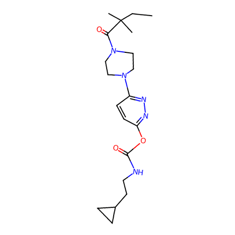 CCC(C)(C)C(=O)N1CCN(c2ccc(OC(=O)NCCC3CC3)nn2)CC1